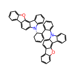 C1=CC[C@H](n2c3ccccc3c3c4oc5ccccc5c4ccc32)C(c2ccccc2-n2c3ccccc3c3c4oc5ccccc5c4ccc32)=C1